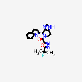 CC(C)(F)c1nnc(C(=O)N2CCc3[nH]cnc3[C@@H]2c2ccc3ccccc3n2)o1